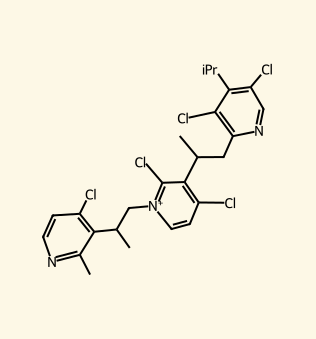 Cc1nccc(Cl)c1C(C)C[n+]1ccc(Cl)c(C(C)Cc2ncc(Cl)c(C(C)C)c2Cl)c1Cl